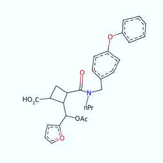 CCCN(Cc1ccc(Oc2ccccc2)cc1)C(=O)C1CC(C(=O)O)C1C(OC(C)=O)c1ccco1